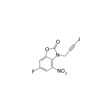 O=c1oc2cc(F)cc([N+](=O)[O-])c2n1CC#CI